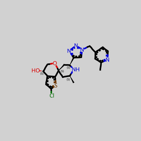 Cc1cc(Cn2cc([C@@H]3C[C@]4(C[C@H](C)N3)OC[C@@H](O)c3cc(Cl)sc34)nn2)ccn1